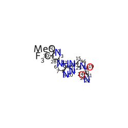 COc1ncc(N2CCc3ncnc(NC4CCN(C(=O)c5cnco5)C4)c3C2)cc1C(F)(F)F